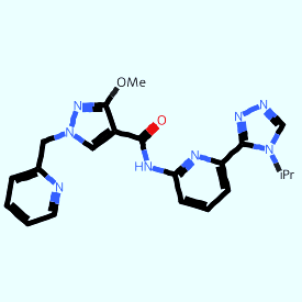 COc1nn(Cc2ccccn2)cc1C(=O)Nc1cccc(-c2nncn2C(C)C)n1